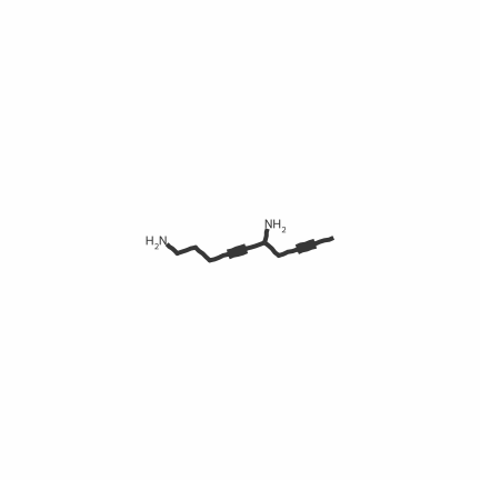 CC#CCC(N)C#CCCCN